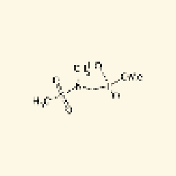 COP(=O)(O)CN(C)S(C)(=O)=O